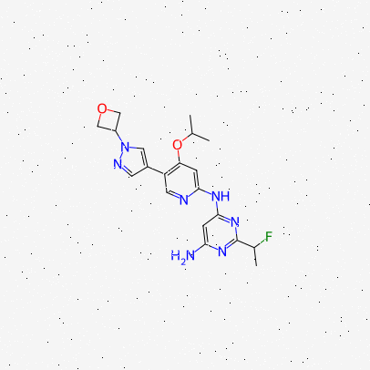 CC(C)Oc1cc(Nc2cc(N)nc(C(C)F)n2)ncc1-c1cnn(C2COC2)c1